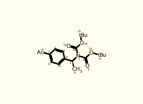 CC(=O)c1ccc([C@H](C)N(C(=O)OC(C)(C)C)C(=O)OC(C)(C)C)cc1